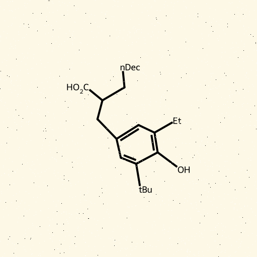 CCCCCCCCCCCC(Cc1cc(CC)c(O)c(C(C)(C)C)c1)C(=O)O